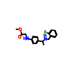 COC(=O)CNc1ccc(C(C)NCc2ccccc2F)cc1